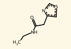 CCNC(=O)Cc1cscn1